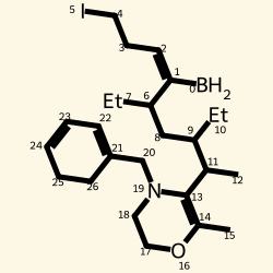 B/C(=C/CCI)C(CC)CC(CC)C(C)C1=C(C)OCCN1CC1=CC=CCC1